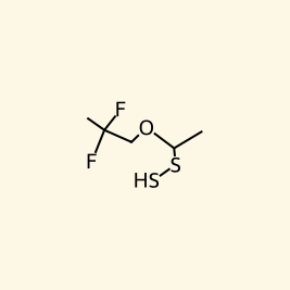 CC(OCC(C)(F)F)SS